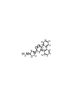 Cc1ccccc1N(CC(=O)N1CCC(N)C1)C(=O)c1ccccc1